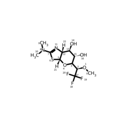 CO[C@H](C1O[C@@H]2SC(N(C)C)=N[C@@H]2[C@@H](O)[C@@H]1O)C(F)(F)F